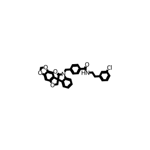 O=C(NCCc1cccc(Cl)c1)c1ccc(CN2C(=O)C3(COc4cc5c(cc43)OCO5)c3ccccc32)cc1